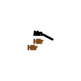 Br.Br.[CH3][Mn]